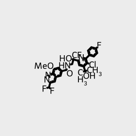 COc1cc(C(=O)NC[C@](O)(c2cc(C(C)(C)O)c(Cl)c(-c3ccc(F)cc3)n2)C(F)(F)F)cc2cc(C(F)F)nnc12